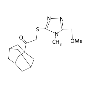 COCc1nnc(SCC(=O)C23CC4CC(CC(C4)C2)C3)n1C